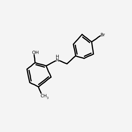 Cc1ccc(O)c(NCc2ccc(Br)cc2)c1